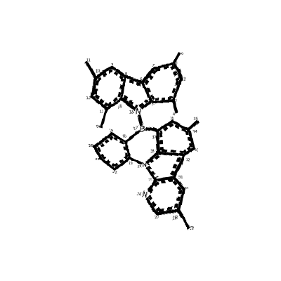 Cc1cc(C)c2c(c1)c1cc(C)cc(C)c1n2B1c2ccccc2-n2c3ncc(C)cc3c3cc(C)cc1c32